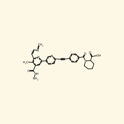 C=N/C=C\c1nc(-c2ccc(C#Cc3ccc(C(=O)N4CCCCC4C(=O)O)cc3)nc2)cc(C(=O)NN)c1C